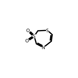 O=S1(=O)C=NC=CSC1